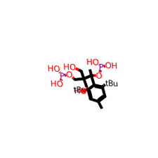 Cc1cc(C(C)(C)C)c(C(C)(OP(O)O)C(CO)(CO)COP(O)O)c(C(C)(C)C)c1